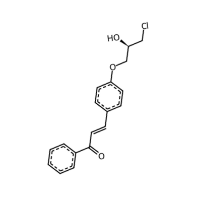 O=C(/C=C/c1ccc(OC[C@@H](O)CCl)cc1)c1ccccc1